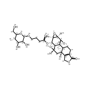 CC(C)[C@]12O[C@H]1[C@@H]1O[C@]13[C@]1(O[C@H]1C[C@H]1C4=C(CC[C@@]13C)C(=O)OC4)[C@@H]2OC(=O)CCCO[C@@H]1OC(CO)[C@@H](C)C(O)[C@@H]1O